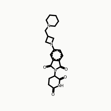 O=C1CCC(N2C(=O)c3ccc(N4CC(CN5CCCCC5)C4)cc3C2=O)C(=O)N1